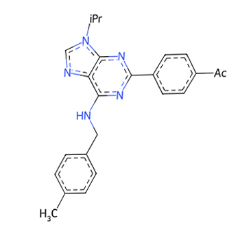 CC(=O)c1ccc(-c2nc(NCc3ccc(C)cc3)c3ncn(C(C)C)c3n2)cc1